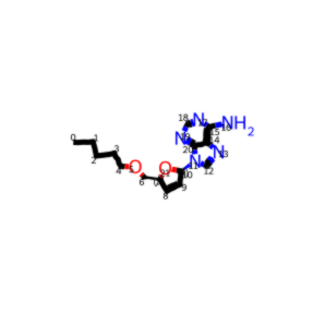 CCCCCOC[C@@H]1C=C[C@H](n2cnc3c(N)ncnc32)O1